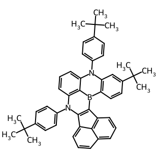 CC(C)(C)c1ccc(N2C3=C(B4c5ccc(C(C)(C)C)cc5N(c5ccc(C(C)(C)C)cc5)c5cccc2c54)c2cccc4cccc3c24)cc1